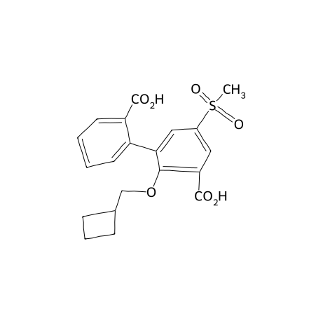 CS(=O)(=O)c1cc(C(=O)O)c(OCC2CCC2)c(-c2ccccc2C(=O)O)c1